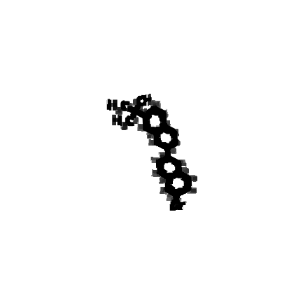 CC(C)(C)c1ccc2ccc(-c3ccc4cc(Br)ccc4c3)cc2c1